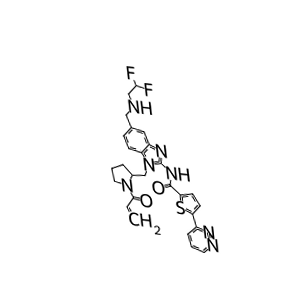 C=CC(=O)N1CCCC1Cn1c(NC(=O)c2ccc(-c3cccnn3)s2)nc2cc(CNCC(F)F)ccc21